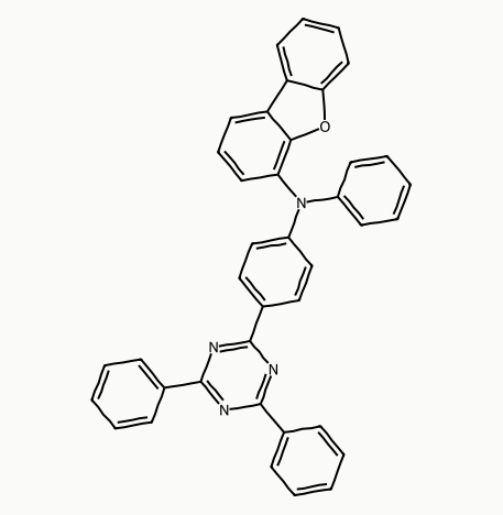 c1ccc(-c2nc(-c3ccccc3)nc(-c3ccc(N(c4ccccc4)c4cccc5c4oc4ccccc45)cc3)n2)cc1